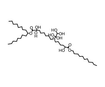 CCCCCCCCCCCOC(=O)C(O)CCCCN(CCCCCCC(O)(O)C(=O)OC(CCCCCCCC)CCCCCCCC)C(O)(O)C(O)O